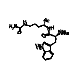 CN[C@@H](Cc1c[nH]c2ccccc12)C(=O)N[C@H](CCCNC(N)=O)C(C)=O